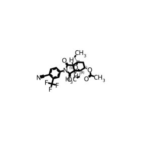 CC[C@]12C[C@H](OC(C)=O)[C@](CC)(O1)[C@@H]1C(=O)N(c3ccc(C#N)c(C(F)(F)F)c3)C(=O)[C@@H]12